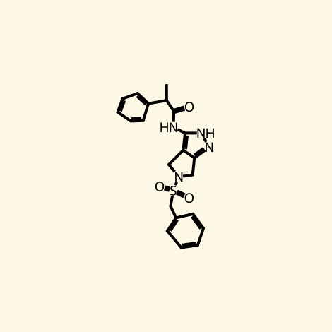 CC(C(=O)Nc1[nH]nc2c1CN(S(=O)(=O)Cc1ccccc1)C2)c1ccccc1